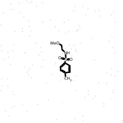 COCCNS(=O)(=O)c1ccc(C)cc1